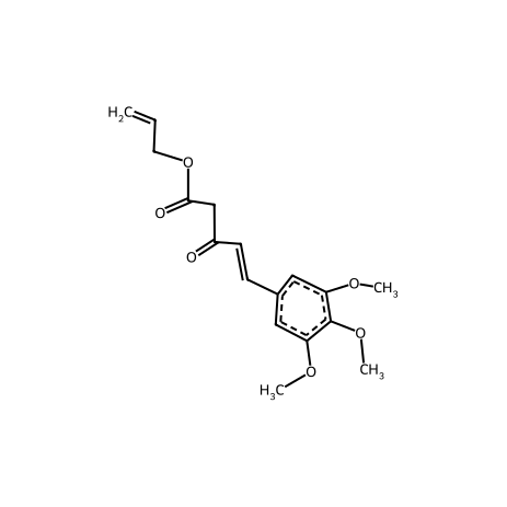 C=CCOC(=O)CC(=O)C=Cc1cc(OC)c(OC)c(OC)c1